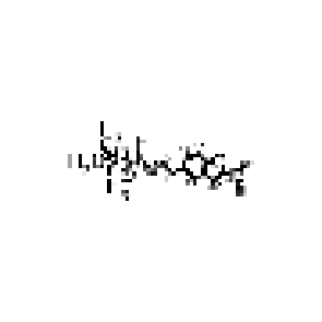 CC(C)(C)OC(=O)NOCCc1ccc2oc(B(F)F)cc2c1